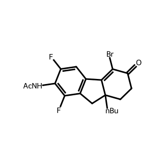 CCCCC12CCC(=O)C(Br)=C1c1cc(F)c(NC(C)=O)c(F)c1C2